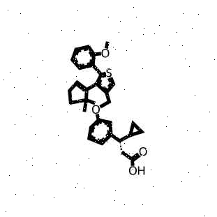 COc1ccccc1-c1scc(COc2cccc([C@@H](CC(=O)O)C3CC3)c2)c1C1=CCCC1(C)C